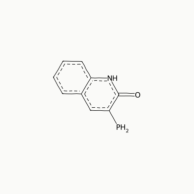 O=c1[nH]c2ccccc2cc1P